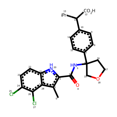 Cc1c(C(=O)NC2(c3ccc(C(C(=O)O)C(C)C)cc3)CCOC2)[nH]c2ccc(Cl)c(Cl)c12